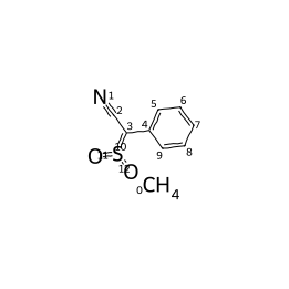 C.N#CC(c1ccccc1)=S(=O)=O